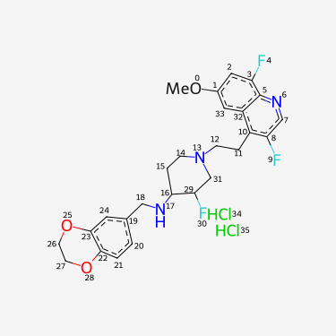 COc1cc(F)c2ncc(F)c(CCN3CCC(NCc4ccc5c(c4)OCCO5)C(F)C3)c2c1.Cl.Cl